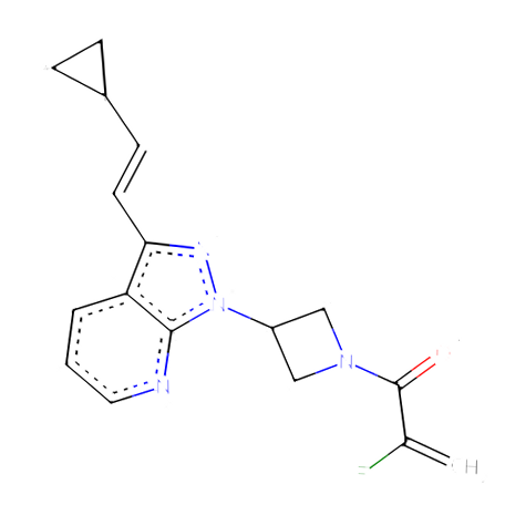 C=C(F)C(=O)N1CC(n2nc(C=CC3CC3)c3cccnc32)C1